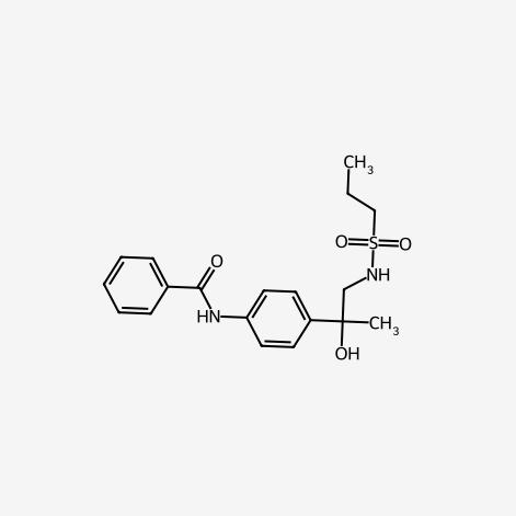 CCCS(=O)(=O)NCC(C)(O)c1ccc(NC(=O)c2ccccc2)cc1